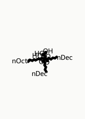 CCCCCCCCC=CCCCCCCC(C(=O)CCCCCCCCCCCCCCC)(C(=O)CCCCCCCCCCCCCCC)C(=O)C(O)(CO)CO